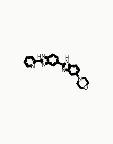 c1ccc(-c2nc3cc(-c4nc5cc(N6CCOCC6)ccc5[nH]4)ccc3[nH]2)nc1